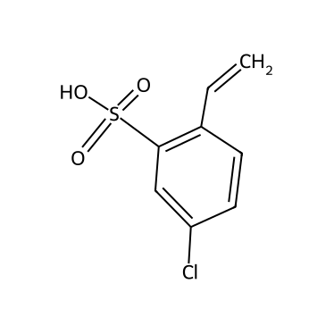 C=Cc1ccc(Cl)cc1S(=O)(=O)O